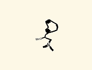 COC(CN(C)C)c1ccccc1